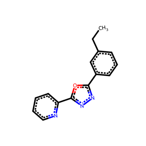 CCc1cccc(-c2nnc(-c3ccccn3)o2)c1